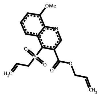 C=CCOC(=O)c1cnc2c(OC)cccc2c1S(=O)(=O)CC=C